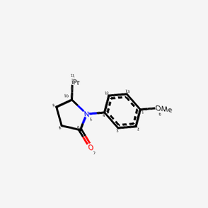 COc1ccc(N2C(=O)CCC2C(C)C)cc1